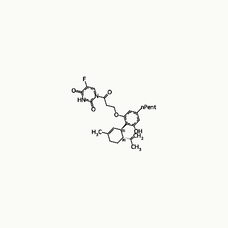 C=C(C)[C@@H]1CCC(C)=C[C@H]1c1c(O)cc(CCCCC)cc1OCCC(=O)n1cc(F)c(=O)[nH]c1=O